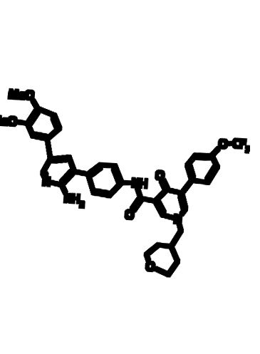 COc1ccc(-c2cnc(N)c(-c3ccc(NC(=O)c4cn(CC5CCOCC5)cc(-c5ccc(OC(F)(F)F)cc5)c4=O)cc3)c2)cc1OC